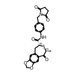 C[C@@H]1S[C@@H](C(=O)Nc2ccc(CN3C(=O)CCC3=O)cc2)Cc2cc3c(cc2C1=O)OCO3